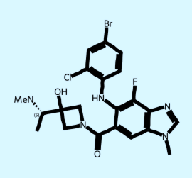 CN[C@@H](C)C1(O)CN(C(=O)c2cc3c(ncn3C)c(F)c2Nc2ccc(Br)cc2Cl)C1